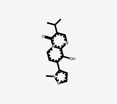 CC(C)c1cnc2c(O)c(-c3ccnn3C)ccn2c1=O